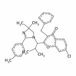 Cc1ccc(C2=NC(C)(C)CN2C(c2oc3cc(Cl)ccc3c(=O)c2Cc2ccccc2)C(C)C)cc1